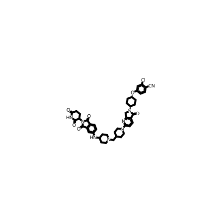 N#Cc1ccc(O[C@H]2CC[C@H](N3Cc4nc(N5CCC(CN6CCC(Nc7ccc8c(c7)C(=O)N(C7CCC(=O)NC7=O)C8=O)CC6)CC5)ccc4C3=O)CC2)cc1Cl